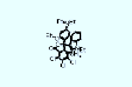 CCOc1cc(N(CC)CC)ccc1C1(c2c(C)n(CC)c3ccccc23)OC(=O)c2c(Cl)c(Cl)c(Cl)c(Cl)c21